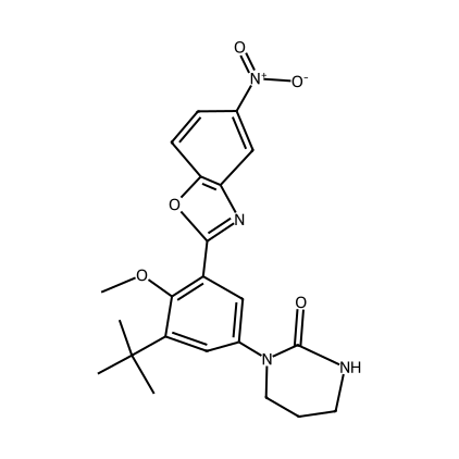 COc1c(-c2nc3cc([N+](=O)[O-])ccc3o2)cc(N2CCCNC2=O)cc1C(C)(C)C